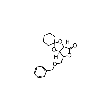 O=C1O[C@@H](COCc2ccccc2)[C@H]2OC3(CCCCC3)O[C@@H]12